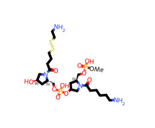 COP(=O)(O)OC[C@@H]1CC(OP(=O)(O)OC[C@@H]2C[C@@H](O)CN2C(=O)CCCSSCCN)CN1C(=O)CCCCCN